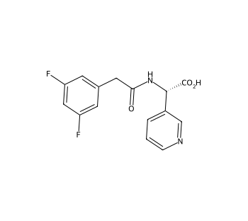 O=C(Cc1cc(F)cc(F)c1)N[C@H](C(=O)O)c1cccnc1